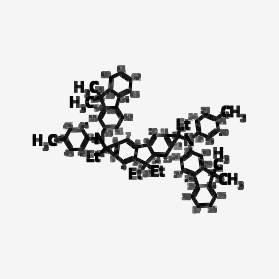 CCC1(CC)c2cc3c(cc2-c2cc4c(cc21)C4(CC)N(c1ccc(C)cc1)c1ccc2c(c1)C(C)(C)c1ccccc1-2)C3(CC)N(c1ccc(C)cc1)c1ccc2c(c1)C(C)(C)c1ccccc1-2